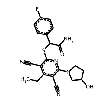 CCc1c(C#N)c(SC(C(N)=O)c2ccc(F)cc2)nc(N2CCC(O)C2)c1C#N